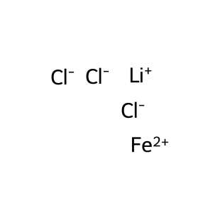 [Cl-].[Cl-].[Cl-].[Fe+2].[Li+]